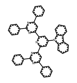 c1ccc(-c2cc(-c3cc(-n4c5ccccc5c5ccccc54)cc(-c4cc(-c5ccccc5)nc(-c5ccccc5)n4)n3)nc(-c3ccccc3)n2)cc1